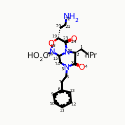 CC(C)C[C@H]1C(=O)N(CCc2ccccc2)CC2N(C(=O)O)O[C@H](CCN)C(=O)N21